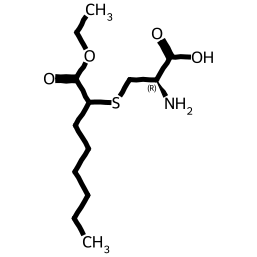 CCCCCCC(SC[C@H](N)C(=O)O)C(=O)OCC